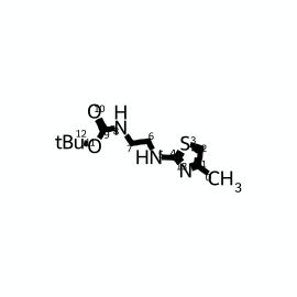 Cc1csc(NCCNC(=O)OC(C)(C)C)n1